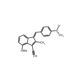 C#CC1=C(C)C(=Cc2ccc([S+](C)[O-])cc2)c2cccc(OC)c21